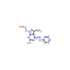 Cc1cn(CCO)c2nc(Cl)nc(NCc3ccncn3)c12